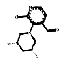 C[C@@H]1C[C@H](C)CN(c2c(C=O)ccnc2Cl)C1